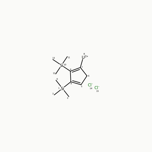 C[Si](C)(C)C1=CC[C]([U+2])=C1[Si](C)(C)C.[Cl-].[Cl-]